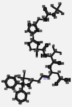 CC(C)C(NC(=O)[C@]1(C)CSC(c2coc(CNC(=O)OC(C)(C)C)n2)=N1)C(=O)OC(/C=C/CCO[Si](c1ccccc1)(c1ccccc1)C(C)(C)C)CC(=O)O